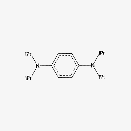 CC(C)N(c1ccc(N(C(C)C)C(C)C)cc1)C(C)C